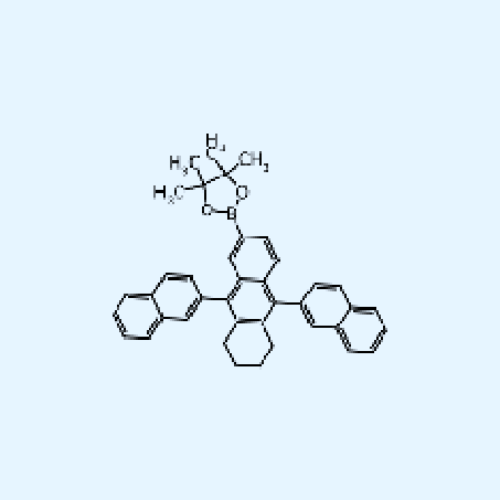 CC1(C)OB(c2ccc3c(-c4ccc5ccccc5c4)c4c(c(-c5ccc6ccccc6c5)c3c2)CCCC4)OC1(C)C